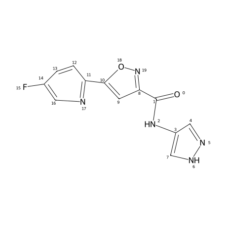 O=C(Nc1cn[nH]c1)c1cc(-c2ccc(F)cn2)on1